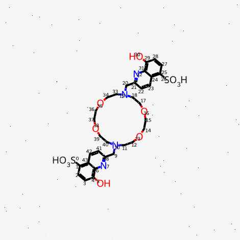 O=S(=O)(O)c1ccc(O)c2nc(CN3CCOCCOCCN(Cc4ccc5c(S(=O)(=O)O)ccc(O)c5n4)CCOCCOCC3)ccc12